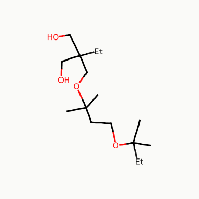 CCC(CO)(CO)COC(C)(C)CCOC(C)(C)CC